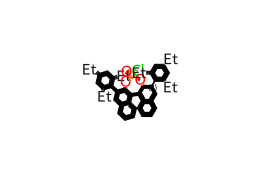 CCc1cc(CC)c(-c2cc3ccccc3c3c2OP(=O)(Cl)OC2C3=c3ccccc3=C[C@@H]2c2c(CC)cc(CC)cc2CC)c(CC)c1